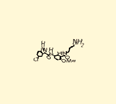 COc1ccc(NC(=O)c2n[nH]c3ccc(Cl)cc23)cc1C(=O)NCCCN